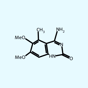 COc1cc2[nH]c(=O)nc(N)c2c(C)c1OC